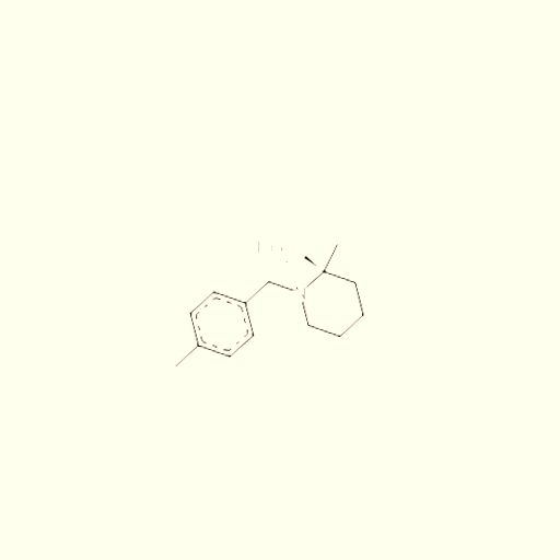 Cc1ccc(CN2CCCC[C@]2(C)C(=O)O)cc1